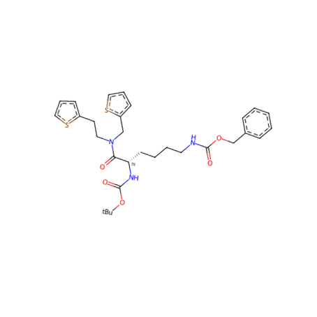 CC(C)(C)OC(=O)N[C@@H](CCCCNC(=O)OCc1ccccc1)C(=O)N(CCc1cccs1)Cc1cccs1